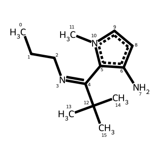 CCC/N=C(\c1c(N)ccn1C)C(C)(C)C